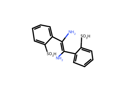 NC(=C(N)c1ccccc1S(=O)(=O)O)c1ccccc1S(=O)(=O)O